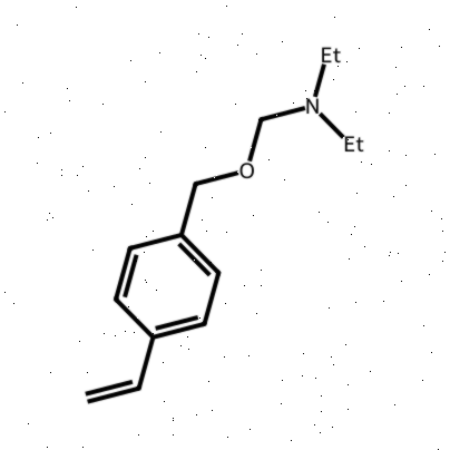 C=Cc1ccc(COCN(CC)CC)cc1